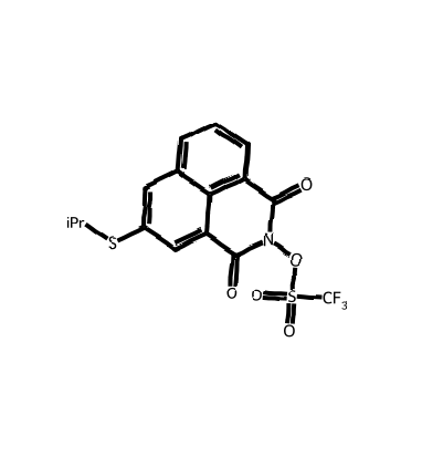 CC(C)Sc1cc2c3c(cccc3c1)C(=O)N(OS(=O)(=O)C(F)(F)F)C2=O